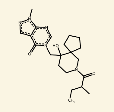 CC(CC(F)(F)F)C(=O)N1CCC(O)(Cn2cnc3c(cnn3C)c2=O)C2(CCCC2)C1